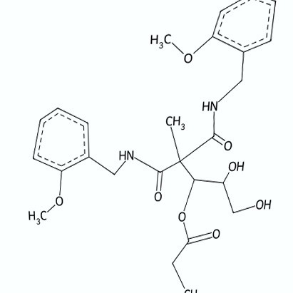 CCC(=O)OC(C(O)CO)C(C)(C(=O)NCc1ccccc1OC)C(=O)NCc1ccccc1OC